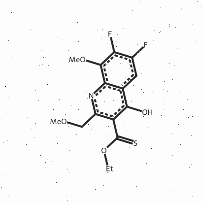 CCOC(=S)c1c(COC)nc2c(OC)c(F)c(F)cc2c1O